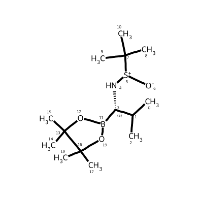 CC(C)[C@@H](N[S+]([O-])C(C)(C)C)B1OC(C)(C)C(C)(C)O1